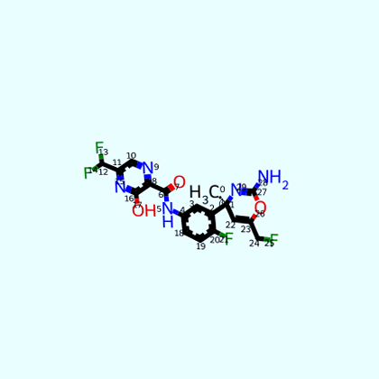 C[C@@]1(c2cc(NC(=O)c3ncc(C(F)F)nc3O)ccc2F)C=C(CF)OC(N)=N1